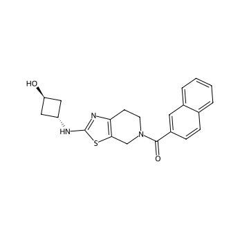 O=C(c1ccc2ccccc2c1)N1CCc2nc(N[C@H]3C[C@H](O)C3)sc2C1